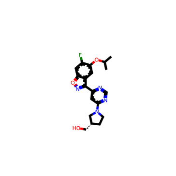 CC(C)Oc1cc2c(-c3cc(N4CC[C@H](CO)C4)ncn3)noc2cc1F